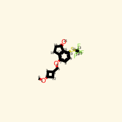 COC1CC(COc2ccc(SC(F)(F)F)c3c2CCC3=O)C1